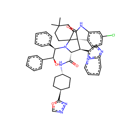 CC1(C)CCC2(CC1)N([C@H](c1ccccc1)[C@@H](O)c1ccccc1)[C@@H](C(=O)N[C@H]1CC[C@H](c3nnco3)CC1)[C@H](c1cnc3ccccn13)[C@]21C(=O)Nc2cc(Cl)ccc21